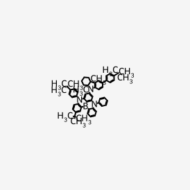 CC(C)(C)c1ccc(-c2ccc3c(c2)C2(C)CCCCC2(C)N3c2cc3c4c(c2)N(c2ccc(C(C)(C)C)cc2)c2ccc(C(C)(C)C)cc2B4c2ccccc2N3c2ccccc2)cc1